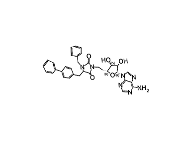 Nc1ncnc2c1ncn2[C@@H]1O[C@H](CCN2C(=O)C(Cc3ccc(-c4ccccc4)cc3)N(Cc3ccccc3)C2=O)[C@@H](O)C1O